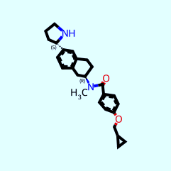 CN(C(=O)c1ccc(OCC2CC2)cc1)[C@@H]1CCc2cc([C@@H]3CCCN3)ccc2C1